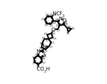 O=C(O)c1ccc2nc(N3C4CCC3CC3(CC(OCc5c(-c6ccccc6NC(F)(F)F)noc5C5CC5)C3)C4)sc2c1